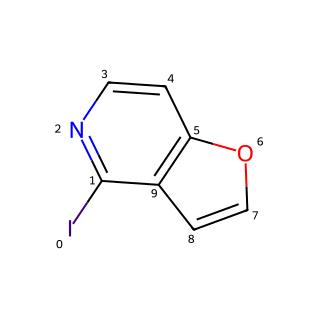 Ic1nccc2occc12